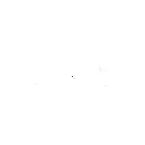 COc1ccc2c(c1N)C(C=O)C(C)N2CCCC=O